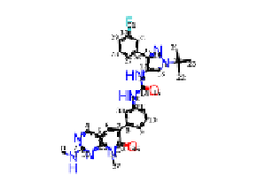 CNc1ncc2cc(-c3cccc(NC(=O)Nc4cn(C(C)(C)C)nc4-c4cccc(F)c4)c3)c(=O)n(C)c2n1